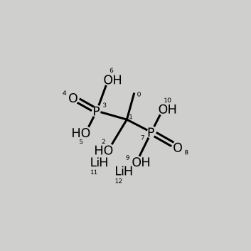 CC(O)(P(=O)(O)O)P(=O)(O)O.[LiH].[LiH]